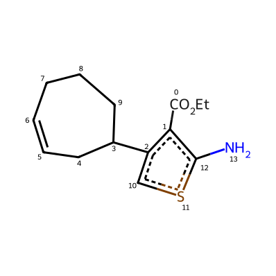 CCOC(=O)c1c(C2CC=CCCC2)csc1N